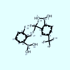 OB(O)c1ccc(C(F)(F)F)cc1C(F)(F)F.OB(O)c1cccc(F)c1F